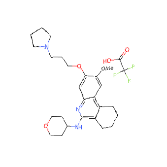 COc1cc2c3c(c(NC4CCOCC4)nc2cc1OCCCN1CCCC1)CCCC3.O=C(O)C(F)(F)F